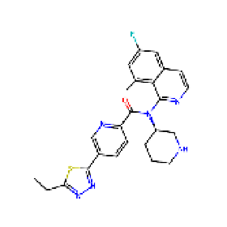 CCc1nnc(-c2ccc(C(=O)N(c3nccc4cc(F)cc(C)c34)[C@@H]3CCCNC3)nc2)s1